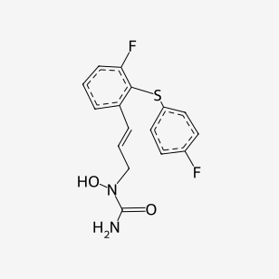 NC(=O)N(O)CC=Cc1cccc(F)c1Sc1ccc(F)cc1